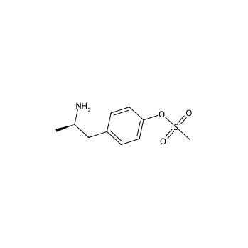 C[C@@H](N)Cc1ccc(OS(C)(=O)=O)cc1